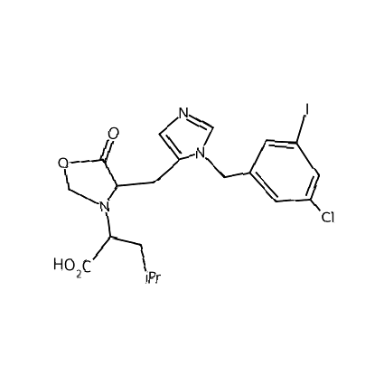 CC(C)CC(C(=O)O)N1COC(=O)C1Cc1cncn1Cc1cc(Cl)cc(I)c1